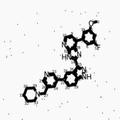 COc1cc(F)cc(-c2ccnc3[nH]c(-c4n[nH]c5ccc(-c6cncc(CN7CCCCC7)c6)cc45)nc23)c1